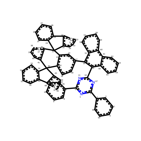 c1ccc(-c2nc(-c3ccccc3)nc(-c3c(-c4ccc5c(c4)C4(c6ccccc6-c6ccccc64)c4ccccc4C54c5ccccc5-c5ccccc54)c4ccccc4c4ccccc34)n2)cc1